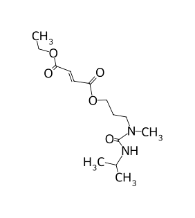 CCOC(=O)/C=C/C(=O)OCCCN(C)C(=O)NC(C)C